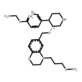 C=C(/C=C\C(=C/C)C1CCNC[C@@H]1OCc1ccc2c(c1)N(CCCOC)CCO2)OCC